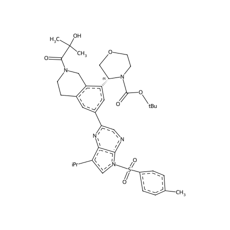 Cc1ccc(S(=O)(=O)n2cc(C(C)C)c3nc(-c4cc5c(c([C@@H]6COCCN6C(=O)OC(C)(C)C)c4)CN(C(=O)C(C)(C)O)CC5)cnc32)cc1